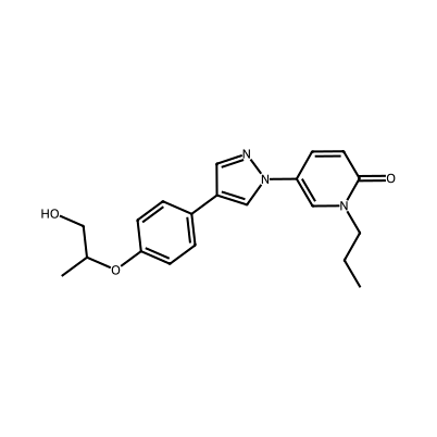 CCCn1cc(-n2cc(-c3ccc(OC(C)CO)cc3)cn2)ccc1=O